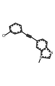 Cn1cnc2ccc(C#Cc3cccc(Cl)c3)cc21